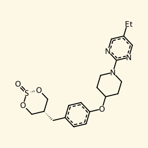 CCc1cnc(N2CCC(Oc3ccc(C[C@H]4CO[S@@](=O)OC4)cc3)CC2)nc1